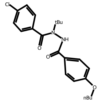 CCCCOc1ccc(C(=O)NN(C(=O)c2ccc(Cl)cc2)C(C)(C)C)cc1